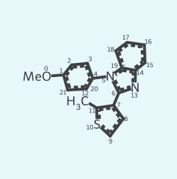 COc1ccc(-n2c(-c3ccsc3C)nc3ccccc32)cc1